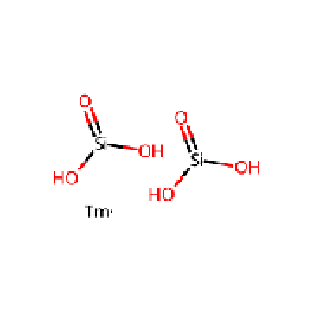 O=[Si](O)O.O=[Si](O)O.[Tm]